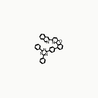 C1=CC2Oc3cccc(-c4ccc(-c5nc(-c6ccccc6)nc(-c6ccccc6)n5)cc4)c3C2N=C1c1cc2ccccc2cn1